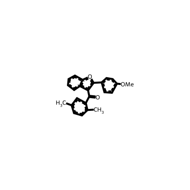 COc1ccc(-c2oc3ccccc3c2C(=O)c2cc(C)ccc2C)cc1